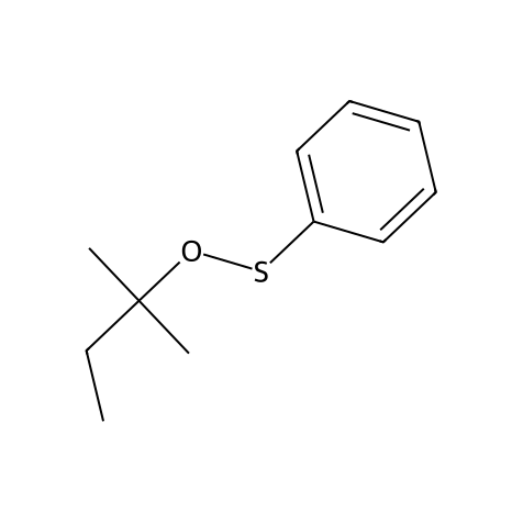 CCC(C)(C)OSc1ccccc1